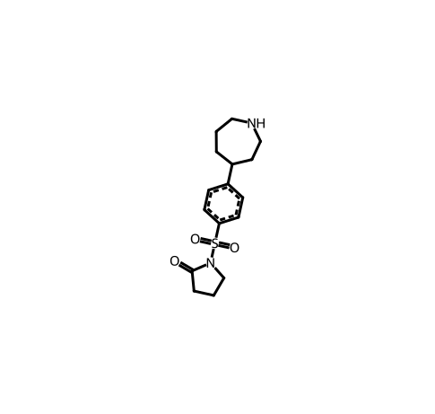 O=C1CCCN1S(=O)(=O)c1ccc(C2CCCNCC2)cc1